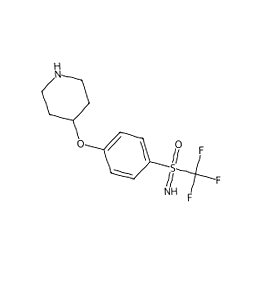 N=S(=O)(c1ccc(OC2CCNCC2)cc1)C(F)(F)F